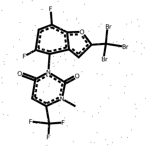 Cn1c(C(F)(F)F)cc(=O)n(-c2c(F)cc(F)c3oc(C(Br)(Br)Br)cc23)c1=O